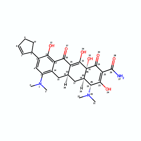 CN(C)c1cc(C2C=CCC2)c(O)c2c1C[C@@H]1C[C@@H]3[C@@H](N(C)C)C(O)=C(C(N)=O)C(=O)[C@]3(O)C(O)=C1C2=O